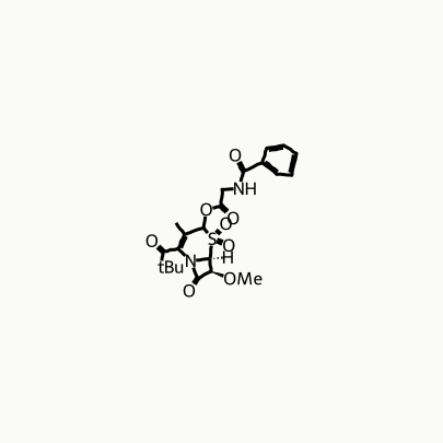 CO[C@H]1C(=O)N2C(C(=O)C(C)(C)C)=C(C)C(OC(=O)CNC(=O)c3ccccc3)S(=O)(=O)[C@@H]12